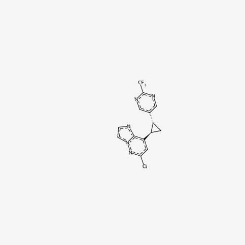 FC(F)(F)c1ncc([C@@H]2C[C@H]2c2cc(Cl)nn3ccnc23)cn1